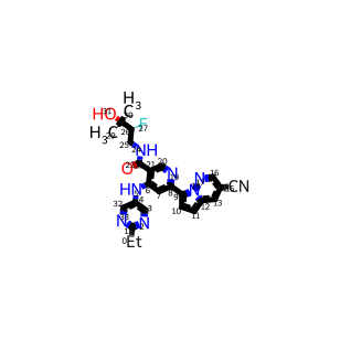 CCc1ncc(Nc2cc(-c3ccc4cc(C#N)cnn34)ncc2C(=O)NC[C@@H](F)C(C)(C)O)cn1